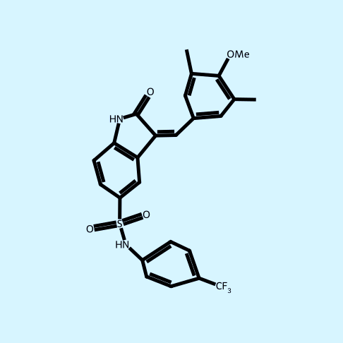 COc1c(C)cc(C=C2C(=O)Nc3ccc(S(=O)(=O)Nc4ccc(C(F)(F)F)cc4)cc32)cc1C